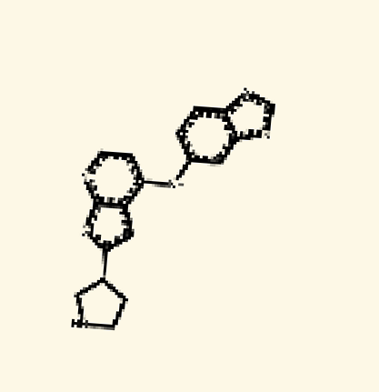 c1cc(Nc2ccc3scnc3c2)c2cc([C@H]3CCNC3)sc2n1